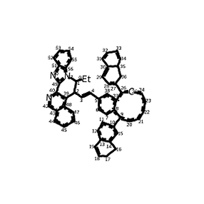 CCC1C(/C=C/c2ccc3c(-c4ccc5c(c4)CCC=C5)ccccccc(C4=CC=C5C=CC=CC5C4)c3c2)c2c(ncc3ccccc23)-c2nc3ccccc3n21